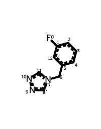 Fc1cccc(Cn2[c]nnc2)c1